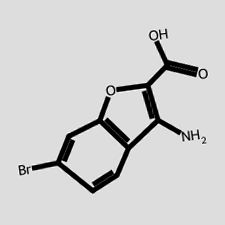 Nc1c(C(=O)O)oc2cc(Br)ccc12